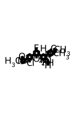 [2H]C([2H])([2H])Oc1ncc(-c2cc(F)cc(-c3ccc(-n4ccn(C)c4=O)c(Cl)c3)c2O)cc1N1CCN(C(C)(C)C)CC1